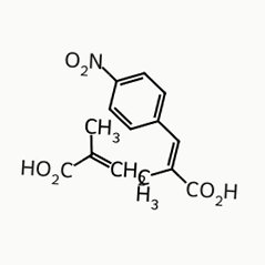 C=C(C)C(=O)O.CC(=Cc1ccc([N+](=O)[O-])cc1)C(=O)O